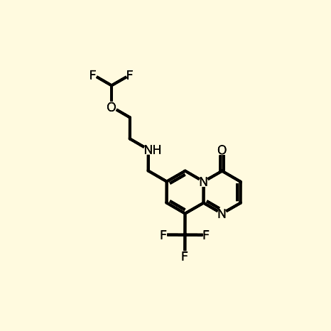 O=c1ccnc2c(C(F)(F)F)cc(CNCCOC(F)F)cn12